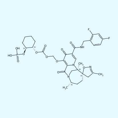 CC1=NO[C@@]2(CC[C@H](C)N3C[C@@]2(C)n2cc(C(=O)NCc4ccc(F)cc4F)c(=O)c(OCOC(=O)O[C@H]4CCCC[C@@H]4OP(=O)(O)O)c2C3=O)C1